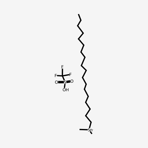 CCCCCCCCCCCCCCCCC[CH2][Sn]([CH3])[CH3].O=S(=O)(O)C(F)(F)F